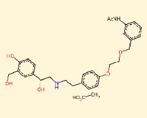 CC(=O)Nc1cccc(COCCOc2ccc(CCNC[C@H](O)c3ccc(O)c(CO)c3)cc2)c1.CC(=O)O